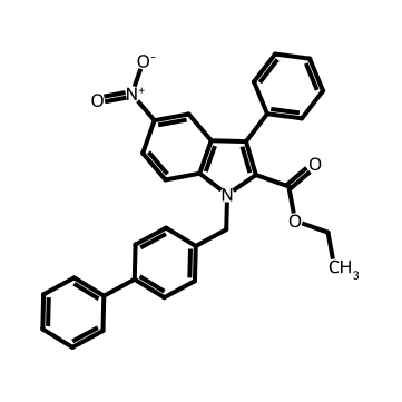 CCOC(=O)c1c(-c2ccccc2)c2cc([N+](=O)[O-])ccc2n1Cc1ccc(-c2ccccc2)cc1